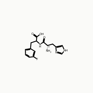 N[C@@H](Cc1c[nH]cn1)C(=O)NC(Cc1cccc(F)c1)C(=O)O